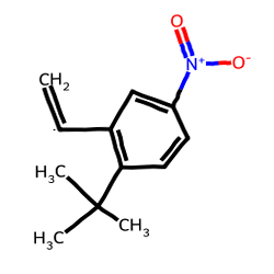 C=[C]c1cc([N+](=O)[O-])ccc1C(C)(C)C